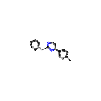 Cc1ccc(-c2ccnc(Cc3ccccc3)n2)cc1